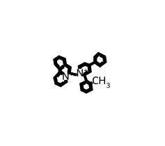 Cc1ccccc1-c1cc(-c2ccccc2)cc[n+]1Cc1cc2ccccc2c2cccc[n+]12